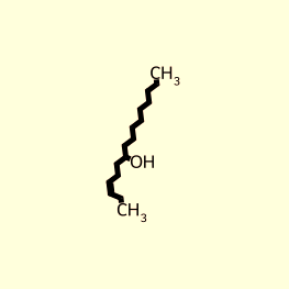 CC/C=C\CCC(O)CCCCCCCCC